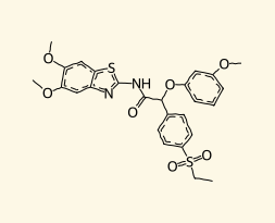 CCS(=O)(=O)c1ccc(C(Oc2cccc(OC)c2)C(=O)Nc2nc3cc(OC)c(OC)cc3s2)cc1